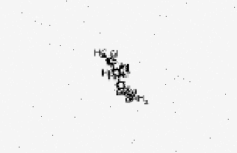 NS(=O)(=O)OC[C@H]1C[C@@H](Nc2ncncc2C(O)c2cc(CO)c(Cl)s2)C[C@@H]1O